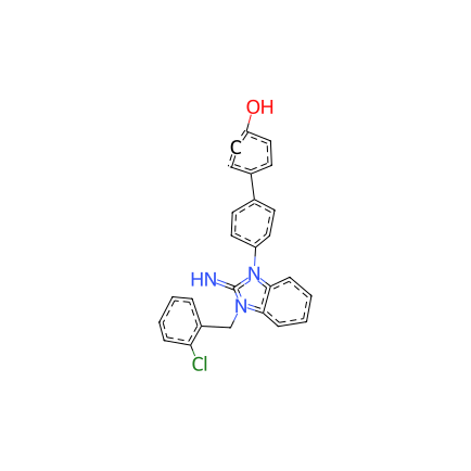 N=c1n(Cc2ccccc2Cl)c2ccccc2n1-c1ccc(-c2ccc(O)cc2)cc1